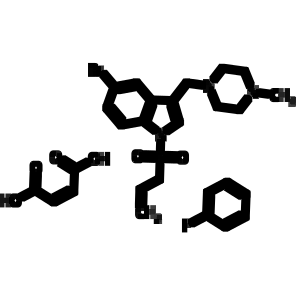 C=CCS(=O)(=O)n1cc(CN2CCN(C)CC2)c2cc(Br)ccc21.Fc1ccccc1.O=C(O)/C=C\C(=O)O